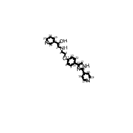 O[C@@H](CNCCOc1ccc(-c2c[nH]c(-c3ccncc3)n2)cc1)c1cccnc1